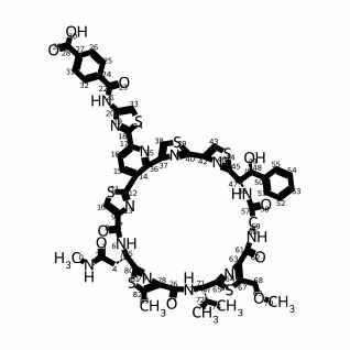 CNC(=O)C[C@@H]1NC(=O)c2csc(n2)-c2ccc(-c3nc(NC(=O)c4ccc(C(=O)O)cc4)cs3)nc2-c2csc(n2)-c2csc(n2)[C@H]([C@@H](O)c2ccccc2)NC(=O)CNC(=O)c2nc(sc2COC)[C@H](C(C)C)NC(=O)c2nc1sc2C